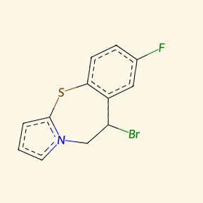 Fc1ccc2c(c1)C(Br)Cn1cccc1S2